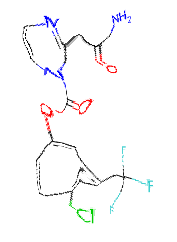 NC(=O)c1nccn1C(=O)Oc1ccc(Cl)c(C(F)(F)F)c1